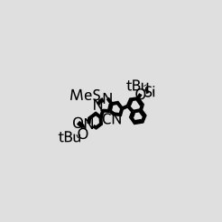 CSc1nc2c(c(C3(C#N)CCN(C(=O)OC(C)(C)C)CC3)n1)CCC(c1cc(O[Si](C)(C)C(C)(C)C)cc3ccccc13)C2